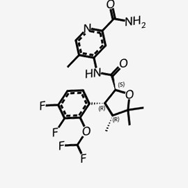 Cc1cnc(C(N)=O)cc1NC(=O)[C@H]1OC(C)(C)[C@H](C)[C@@H]1c1ccc(F)c(F)c1OC(F)F